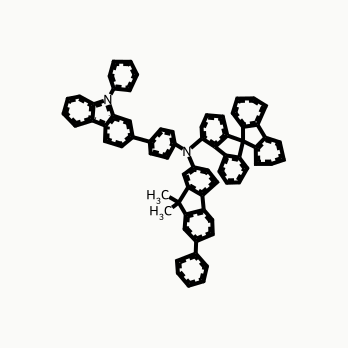 CC1(C)c2cc(-c3ccccc3)ccc2-c2ccc(N(c3ccc(-c4ccc5c6ccccc6n(-c6ccccc6)c5c4)cc3)c3cccc4c3-c3ccccc3C43c4ccccc4-c4ccccc43)cc21